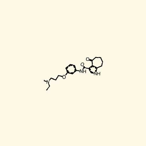 CCN(C)CCCOc1cccc(NC(=O)c2c[nH]c3c2C(=O)CCCC3)c1